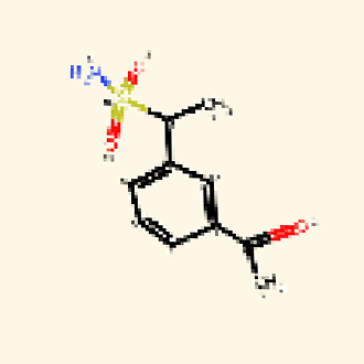 CC(=O)c1cccc(C(C)S(N)(=O)=O)c1